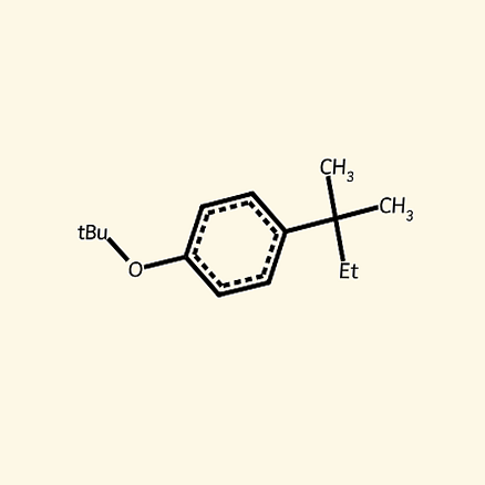 CCC(C)(C)c1ccc(OC(C)(C)C)cc1